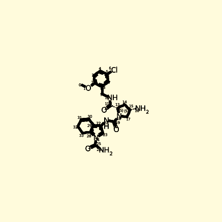 COc1ccc(Cl)cc1CNC(=O)[C@@H]1C[C@H](N)CN1C(=O)Nc1cn(C(N)=O)c2c1C=CCC2